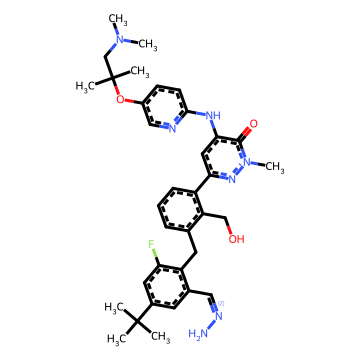 CN(C)CC(C)(C)Oc1ccc(Nc2cc(-c3cccc(Cc4c(F)cc(C(C)(C)C)cc4/C=N\N)c3CO)nn(C)c2=O)nc1